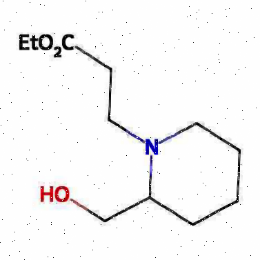 CCOC(=O)CCN1CCCCC1CO